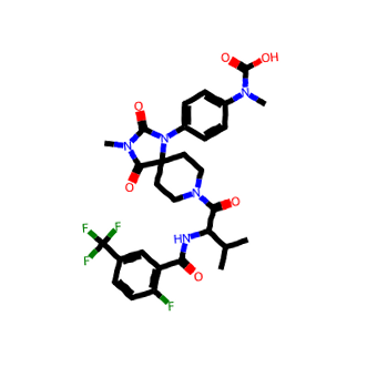 CC(C)C(NC(=O)c1cc(C(F)(F)F)ccc1F)C(=O)N1CCC2(CC1)C(=O)N(C)C(=O)N2c1ccc(N(C)C(=O)O)cc1